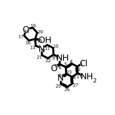 Nc1c(Cl)cc(C(=O)NC2CCN(CC3(O)CCOCC3)CC2)c2ncccc12